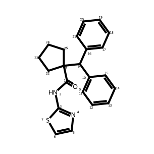 O=C(Nc1nccs1)C1(C(c2ccccc2)c2ccccc2)CCCC1